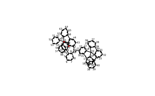 c1ccc(-c2ccccc2N(c2ccc3c(c2)-c2ccccc2C32c3ccccc3-c3cccc(-c4ccccc4)c32)c2ccc3c(c2)C(c2ccccc2)(c2ccccc2)c2ccccc2-3)cc1